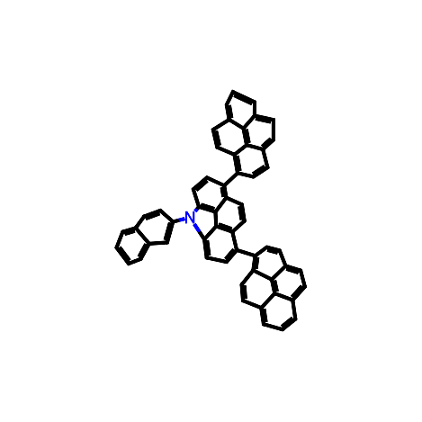 c1ccc2cc(-n3c4ccc(-c5ccc6ccc7cccc8ccc5c6c78)c5ccc6c(-c7ccc8ccc9cccc%10ccc7c8c9%10)ccc3c6c54)ccc2c1